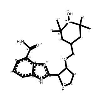 CC1(C)CC(COC2CCNC2c2nc3c(C(N)=O)cccc3[nH]2)CC(C)(C)N1O